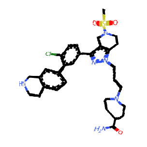 CS(=O)(=O)N1CCc2c(c(-c3ccc(Cl)c(-c4ccc5c(c4)CNCC5)c3)nn2CCCN2CCC(C(N)=O)CC2)C1